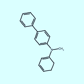 CN(C1=CC=CCC1)c1ccc(-c2ccccc2)cc1